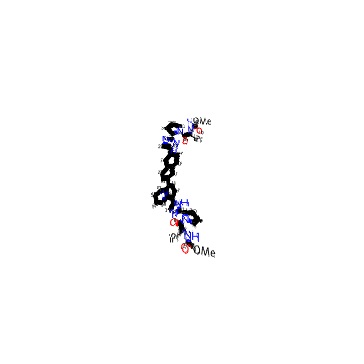 COC(=O)N[C@H](C(=O)N1CCC[C@H]1c1ncc(-c2ccc(-c3ccc4cc(-c5cnc([C@@H]6CCCN6C(=O)[C@H](NC(=O)OC)C(C)C)[nH]5)ccc4c3)c3c2C2CCC3N2C)[nH]1)C(C)C